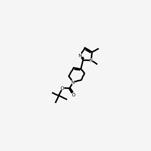 Cc1cnc(C2=CCN(C(=O)OC(C)(C)C)CC2)n1C